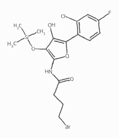 C[Si](C)(C)Oc1c(NC(=O)CCCBr)oc(-c2ccc(F)cc2Cl)c1O